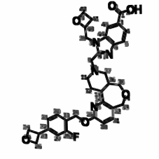 O=C(O)c1ccc2nc(CN3CCC4c5nc(OCc6ccc(C7COC7)cc6F)ccc5COCC4C3)n(CC3CCO3)c2c1